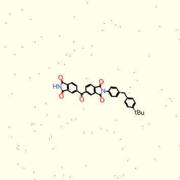 CC(C)(C)c1ccc(Cc2ccc(N3C(=O)c4ccc(C(=O)c5ccc6c(c5)C(=O)NC6=O)cc4C3=O)cc2)cc1